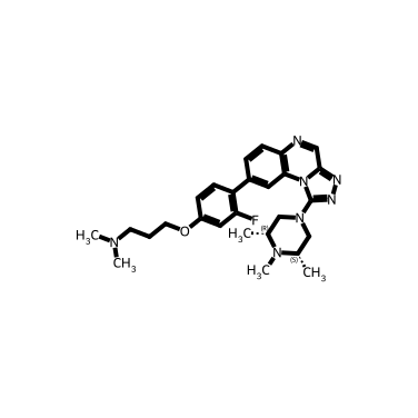 C[C@@H]1CN(c2nnc3cnc4ccc(-c5ccc(OCCCN(C)C)cc5F)cc4n23)C[C@H](C)N1C